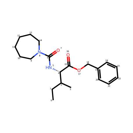 CCC(C)[C@H](NC(=O)N1CCCCCC1)C(=O)OCc1ccccc1